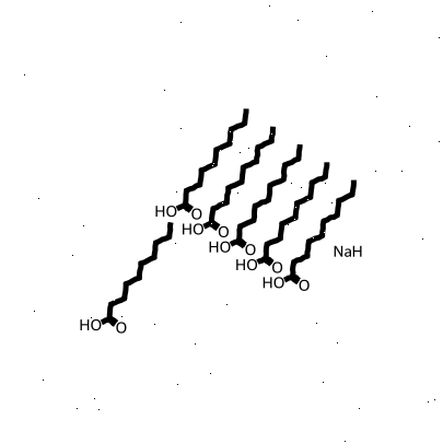 CCCCCCCCCC(=O)O.CCCCCCCCCC(=O)O.CCCCCCCCCC(=O)O.CCCCCCCCCC(=O)O.CCCCCCCCCC(=O)O.CCCCCCCCCC(=O)O.[NaH]